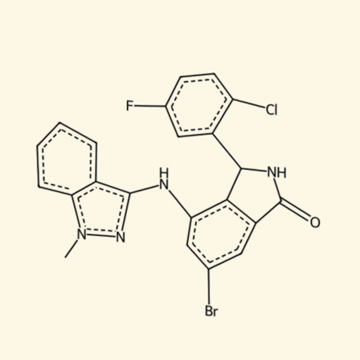 Cn1nc(Nc2cc(Br)cc3c2C(c2cc(F)ccc2Cl)NC3=O)c2ccccc21